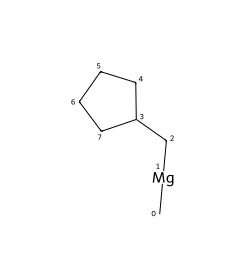 [CH3][Mg][CH2]C1CCCC1